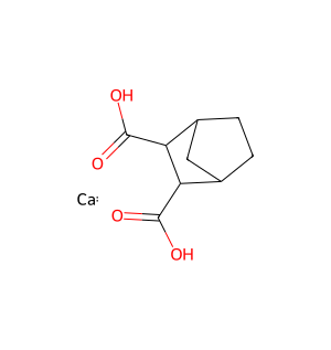 O=C(O)C1C2CCC(C2)C1C(=O)O.[Ca]